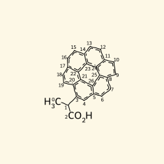 CC(C(=O)O)c1cc2ccc3ccc4ccc5ccc6ccc1c1c6c5c4c3c21